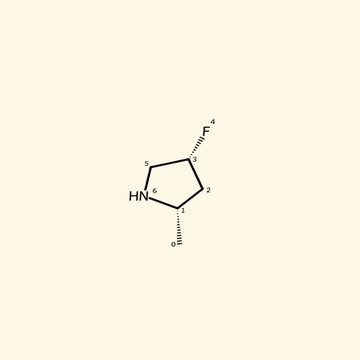 C[C@H]1C[C@@H](F)CN1